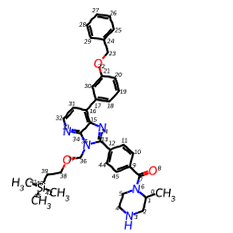 CC1CNCCN1C(=O)c1ccc(-c2nc3c(-c4cccc(OCc5ccccc5)c4)ccnc3n2COCC[Si](C)(C)C)cc1